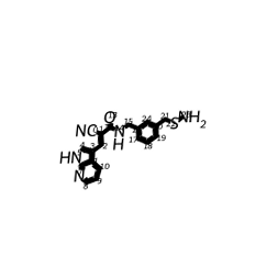 N#C/C(=C\c1c[nH]c2ncccc12)C(=O)NCc1cccc(CSN)c1